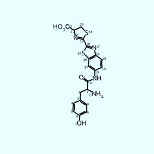 NC(Cc1ccc(O)cc1)C(=O)Nc1ccc2nc(C3=NC(C(=O)O)CS3)sc2c1